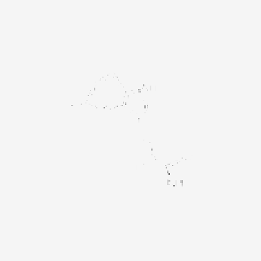 NC(=O)N(S)CCc1c[nH]c2ccc(Cl)cc12